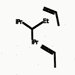 C=CC.C=CC.CCC(C(C)C)C(C)C